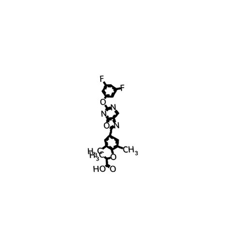 Cc1cc(-c2nc3cnc(Oc4cc(F)cc(F)c4)nc3o2)cc(C)c1OC(C)C(=O)O